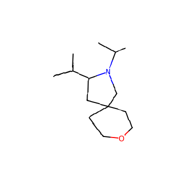 CC(C)C1CC2(CCOCC2)CN1C(C)C